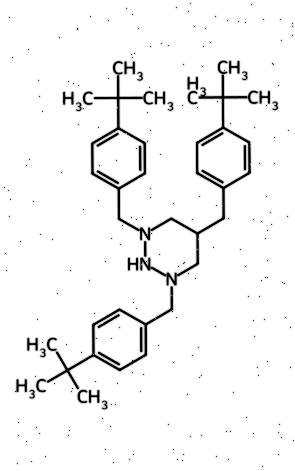 CC(C)(C)c1ccc(CC2CN(Cc3ccc(C(C)(C)C)cc3)NN(Cc3ccc(C(C)(C)C)cc3)C2)cc1